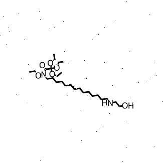 CCON(CCCCCCCCCCCCCCNCCO)C(=O)C(OCC)(OCC)OCC